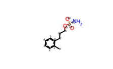 Cc1ccccc1CCCOS(N)(=O)=O